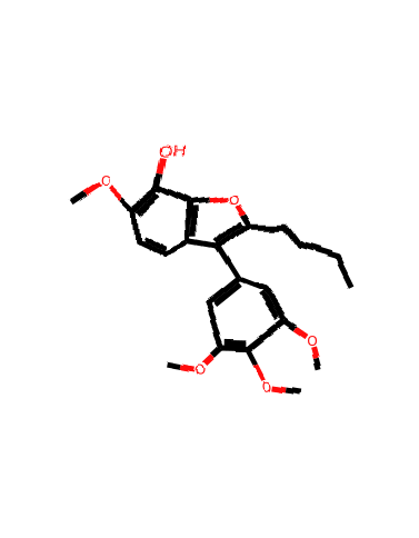 CCCCc1oc2c(O)c(OC)ccc2c1-c1cc(OC)c(OC)c(OC)c1